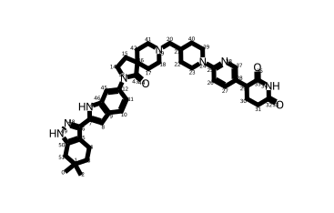 CC1(C)CCc2c(-c3cc4ccc(N5CCC6(CCN(CC7CCN(c8ccc(C9CCC(=O)NC9=O)cn8)CC7)CC6)C5=O)cc4[nH]3)n[nH]c2C1